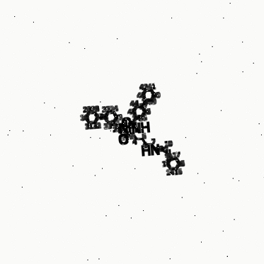 O=C(N[C@@H](CCCCNC1CC1c1ccccc1)C(=O)NCc1cccc(-c2ccccc2)c1)c1ccc(-c2ccccc2)cc1